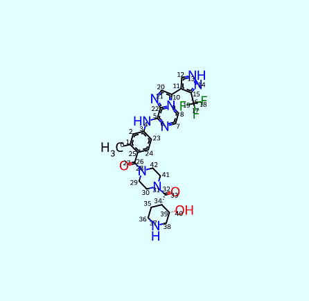 Cc1cc(Nc2nccn3c(-c4c[nH]nc4C(F)(F)F)cnc23)ccc1C(=O)N1CCN(C(=O)[C@H]2CCNC[C@H]2O)CC1